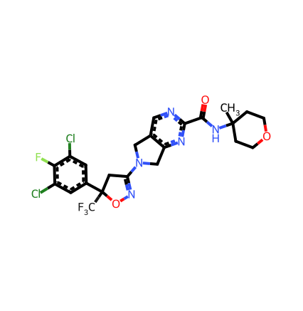 CC1(NC(=O)c2ncc3c(n2)CN(C2=NOC(c4cc(Cl)c(F)c(Cl)c4)(C(F)(F)F)C2)C3)CCOCC1